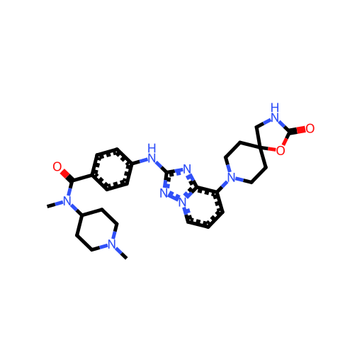 CN1CCC(N(C)C(=O)c2ccc(Nc3nc4c(N5CCC6(CC5)CNC(=O)O6)cccn4n3)cc2)CC1